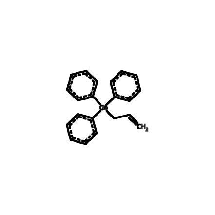 C=C[CH2][Ge]([c]1ccccc1)([c]1ccccc1)[c]1ccccc1